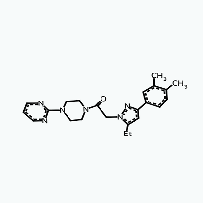 CCc1cc(-c2ccc(C)c(C)c2)nn1CC(=O)N1CCN(c2ncccn2)CC1